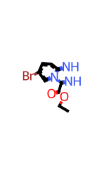 CCOC(=O)C(=N)n1cc(Br)ccc1=N